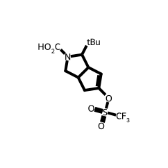 CC(C)(C)C1C2C=C(OS(=O)(=O)C(F)(F)F)CC2CN1C(=O)O